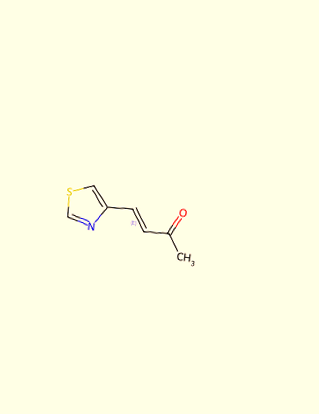 CC(=O)/C=C/c1cscn1